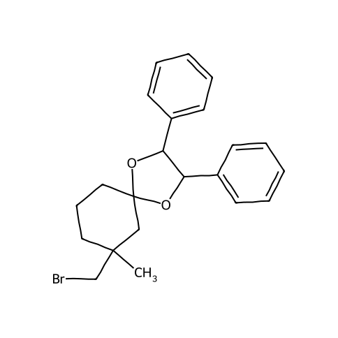 CC1(CBr)CCCC2(C1)OC(c1ccccc1)C(c1ccccc1)O2